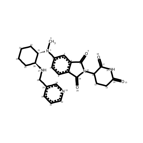 CN(c1ccc2c(c1)C(=O)N(C1CCC(=O)NC1=O)C2=O)[C@H]1CCCC[C@@H]1NCc1cccnc1